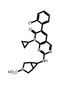 O=C(O)N1CC2C(C1)C2Nc1ncc2cc(-c3ccccc3Cl)c(=O)n(C3CC3)c2n1